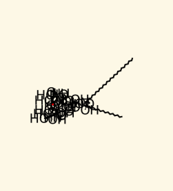 CCCCCCCCCCCCC/C=C/[C@@H](O)[C@H](CO[C@@H]1OC(CO)[C@@H](O[C@@H]2OC(CO)[C@H](O[C@@H]3OC(CO[C@]4(C(=O)O)CC(O)[C@@H](NC(C)=O)C([C@H](O)[C@H](O)CO)O4)[C@H](O)[C@H](O)C3NC(C)=O)[C@H](O)C2O)[C@H](O)C1O)NC(=O)CCCCCCCCCCCCCCCCCCCCCCCCC